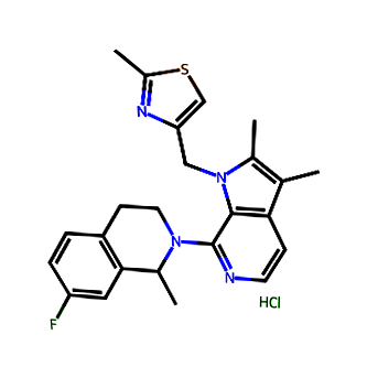 Cc1nc(Cn2c(C)c(C)c3ccnc(N4CCc5ccc(F)cc5C4C)c32)cs1.Cl